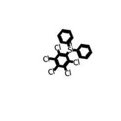 Clc1c(Cl)c(Cl)c([SiH](c2ccccc2)c2ccccc2)c(Cl)c1Cl